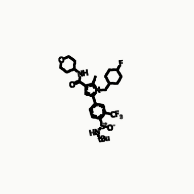 Cc1c(C(=O)NC2CCOCC2)cc(-c2ccc([S+]([O-])NC(C)(C)C)c(C(F)(F)F)c2)n1CC1CCC(F)CC1